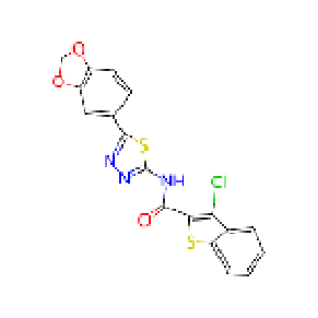 O=C(Nc1nnc(-c2ccc3c(c2)OCO3)s1)c1sc2ccccc2c1Cl